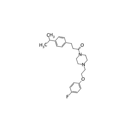 CC(C)c1ccc(CCC(=O)N2CCN(CCOc3ccc(F)cc3)CC2)cc1